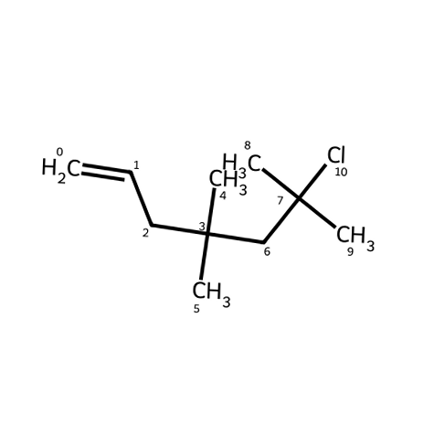 C=CCC(C)(C)CC(C)(C)Cl